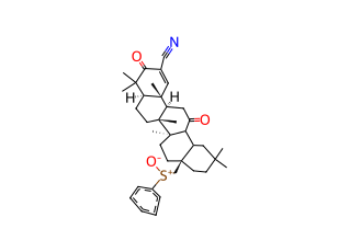 CC1(C)CC[C@]2(C[S+]([O-])c3ccccc3)CC[C@]3(C)C(C(=O)C[C@@H]4[C@@]5(C)C=C(C#N)C(=O)C(C)(C)[C@@H]5CC[C@]43C)C2C1